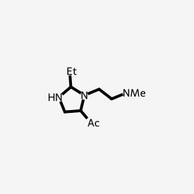 CCC1NCC(C(C)=O)N1CCNC